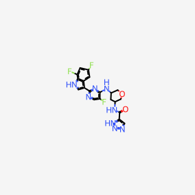 O=C(NC1COCC(Nc2nc(-c3c[nH]c4c(F)cc(F)cc34)ncc2F)C1)c1cnn[nH]1